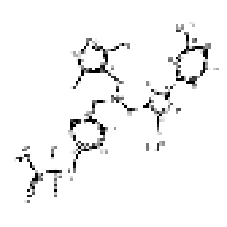 Cc1noc(C)c1CN(Cc1ccc(OC(C)(C)C(=O)O)cc1)Cc1nc(-c2cccc(Br)c2)oc1C.Cl